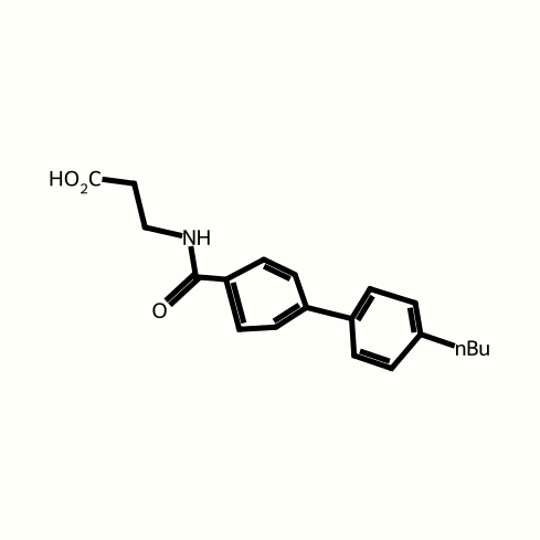 CCCCc1ccc(-c2ccc(C(=O)NCCC(=O)O)cc2)cc1